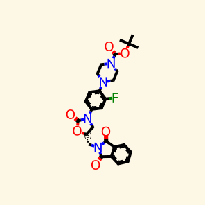 CC(C)(C)OC(=O)N1CCN(c2ccc(N3C[C@H](CN4C(=O)c5ccccc5C4=O)OC3=O)cc2F)CC1